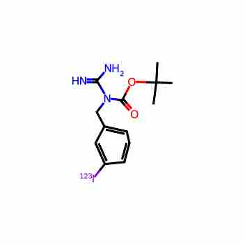 CC(C)(C)OC(=O)N(Cc1cccc([123I])c1)C(=N)N